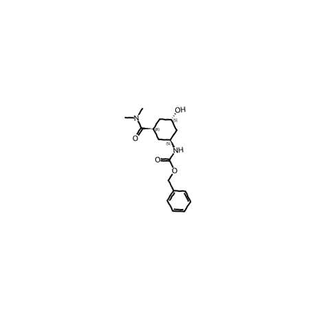 CN(C)C(=O)[C@H]1C[C@H](O)C[C@@H](NC(=O)OCc2ccccc2)C1